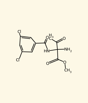 COC(=O)C(N)(NC(=O)c1cc(Cl)cc(Cl)c1)C(C)=O